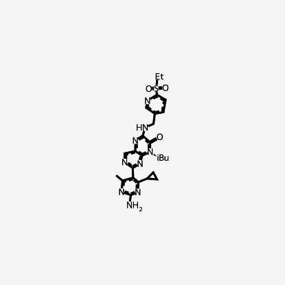 CC[C@@H](C)n1c(=O)c(NCc2ccc(S(=O)(=O)CC)nc2)nc2cnc(-c3c(C)nc(N)nc3C3CC3)nc21